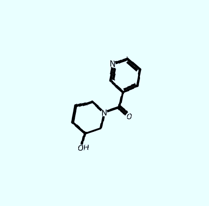 O=C(c1cc[c]nc1)N1CCCC(O)C1